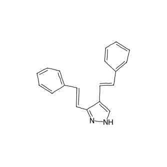 C(=Cc1c[nH]nc1C=Cc1ccccc1)c1ccccc1